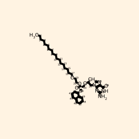 CCCCCCCCCCCCCCCCCCOCCOP(=O)(COC(C)Cn1cnc2c(=O)[nH]c(N)nc21)Oc1cccc2ccccc12